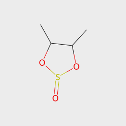 CC1OS(=O)OC1C